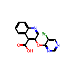 O=C(O)c1c(Oc2ncncc2Br)cnc2ccccc12